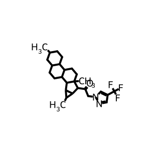 CC1CCC2C(CCC3C2CCC2(C)C(C(=O)Cn4cc(C(F)(F)F)cn4)C4C(C)C4C32)C1